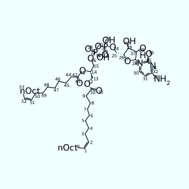 CCCCCCCC/C=C\CCCCCCCC(=O)OC[C@H](COP(=O)(O)OP(=O)(O)OC[C@H]1O[C@@H](n2ccc(N)nc2=O)[C@H](O)[C@@H]1O)OC(=O)CCCCCCC/C=C\CCCCCCCC